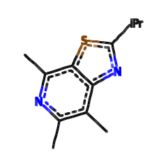 Cc1nc(C)c2sc(C(C)C)nc2c1C